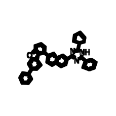 C1=CCC(C2=NC(c3ccc4ccc(-c5cccc6oc7cc(-c8ccccc8)ccc7c56)cc4c3)=NC(c3ccccc3)N2)C=C1